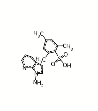 Cc1cc(C)c(S(=O)(=O)O)c(C)c1.Nn1ccc2cccnc21